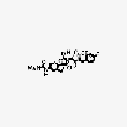 CNC(=O)Nc1ccc2c(c1)CCC21OC(=O)N(CC(=O)N(Cc2ccc(F)cc2)[C@@H](C)C(F)(F)F)C1=O